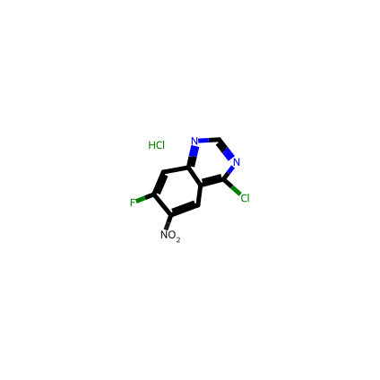 Cl.O=[N+]([O-])c1cc2c(Cl)ncnc2cc1F